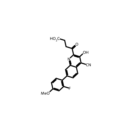 COc1ccc(-c2ccc3c(C#N)c(O)c(C(=O)CCC(=O)O)nc3c2)c(F)c1